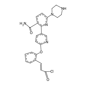 NC(=O)c1ccc(N2CCNCC2)nc1-c1ccc(Oc2ccccc2/C=C/C(=O)Cl)nc1